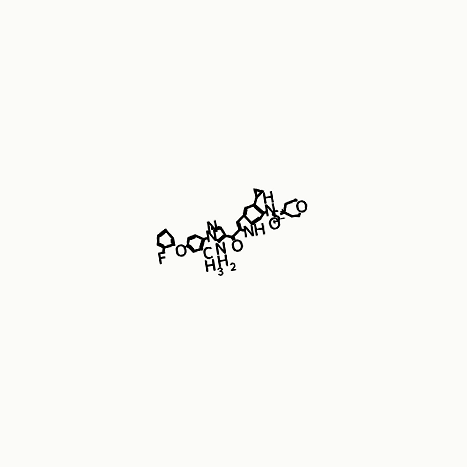 Cc1cc(Oc2ccccc2F)ccc1-n1ncc(C(=O)c2cc3cc(C4CC4)c(N[S+]([O-])C4CCOCC4)cc3[nH]2)c1N